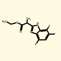 CCOC(=O)C(C)c1nc2c(F)cc(F)c(F)c2[nH]1